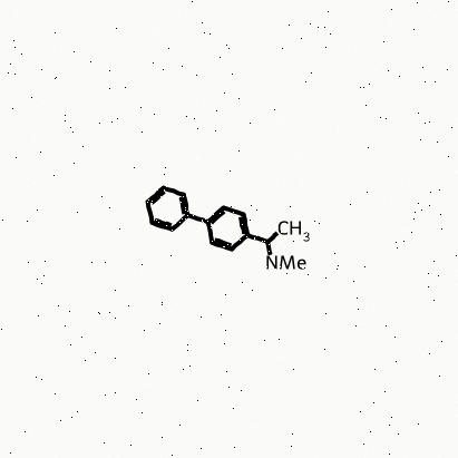 CNC(C)c1ccc(-c2ccccc2)cc1